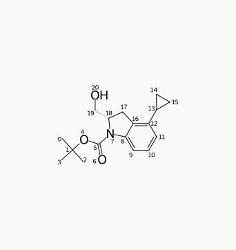 CC(C)(C)OC(=O)N1c2cccc(C3CC3)c2C[C@H]1CO